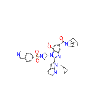 C/N=C\c1ccc(S(=O)(=O)N2CC(n3c(-c4cc5cccnc5n4CC4CC4)nc4cc(C(=O)N5CC6CC7CC5[C@H]76)cc(OC)c43)C2)cc1